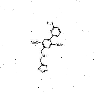 COc1cc(-c2cccc(N)n2)c(OC)cc1CNCc1ccco1